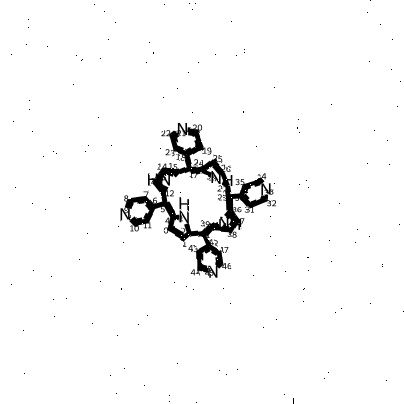 C1=CC2N/C1=C(/c1ccncc1)c1ccc([nH]1)/C(c1ccncc1)=C1/C=CC(N1)/C(c1ccncc1)=c1/cc/c([nH]1)=C/2c1ccncc1